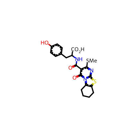 CSc1nc2sc3c(n2c(=O)c1C(=O)NC(Cc1ccc(O)cc1)C(=O)O)CCCC3